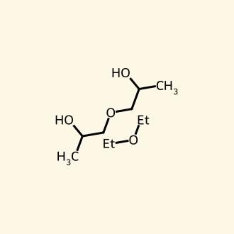 CC(O)COCC(C)O.CCOCC